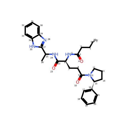 CC(C)CCC(=O)N[C@@H](CCC(=O)N1CCC[C@@H]1c1ccccc1)C(=O)NC(C)c1nc2ccccc2[nH]1